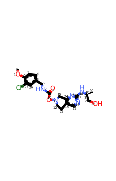 COc1ccc(CNC(=O)ON2CCc3cnc(N[C@@H](C)CO)nc3C2)cc1Cl